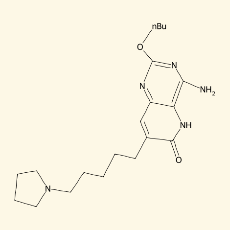 CCCCOc1nc(N)c2[nH]c(=O)c(CCCCCN3CCCC3)cc2n1